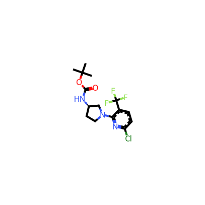 CC(C)(C)OC(=O)N[C@@H]1CCN(c2nc(Cl)ccc2C(F)(F)F)C1